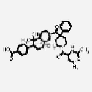 CCC(NC(C)=O)C(=O)N1CCC(C(=O)N2CC=C3C(C)(C)C(c4ccc(C(=O)O)cc4)=CC[C@]3(C)C2)(c2ccccc2)CC1